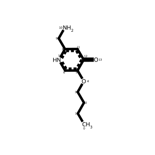 CCCCOc1c[nH]c(CN)cc1=O